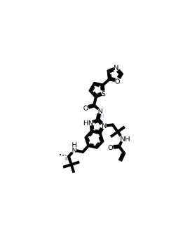 C=CC(=O)NC(C)(C)Cn1/c(=N/C(=O)c2ccc(-c3cnco3)s2)[nH]c2cc(CN[C@@H](C)C(C)(C)C)ccc21